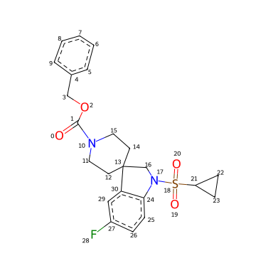 O=C(OCc1ccccc1)N1CCC2(CC1)CN(S(=O)(=O)C1CC1)c1ccc(F)cc12